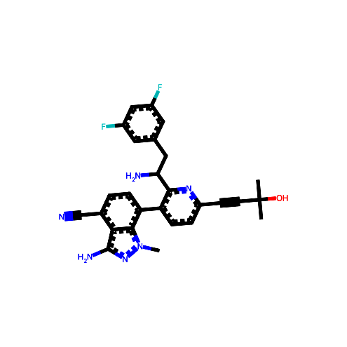 Cn1nc(N)c2c(C#N)ccc(-c3ccc(C#CC(C)(C)O)nc3C(N)Cc3cc(F)cc(F)c3)c21